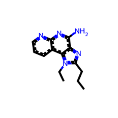 CCCc1nc2c(N)nc3ncccc3c2n1CC